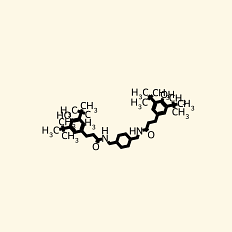 CC(C)(C)c1cc(CCC(=O)NCC2CCC(CNC(=O)CCc3cc(C(C)(C)C)c(O)c(C(C)(C)C)c3)CC2)cc(C(C)(C)C)c1O